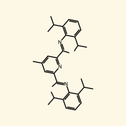 CC(=Nc1c(C(C)C)cccc1C(C)C)c1cc(C)cc(C(C)=Nc2c(C(C)C)cccc2C(C)C)n1